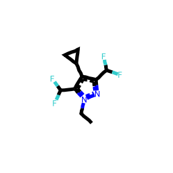 CCn1nc(C(F)F)c(C2CC2)c1C(F)F